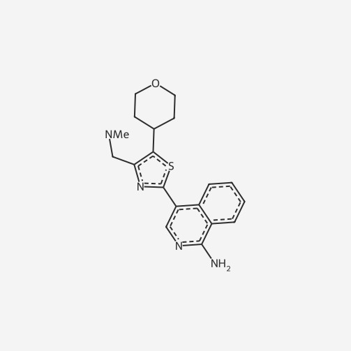 CNCc1nc(-c2cnc(N)c3ccccc23)sc1C1CCOCC1